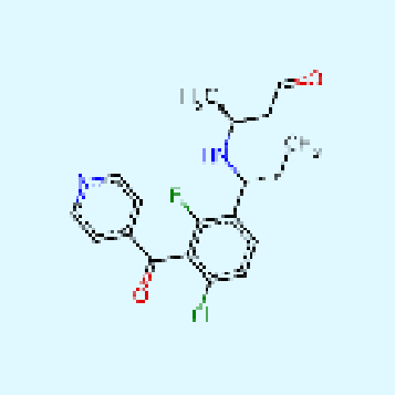 CC[C@@H](N[C@@H](C)CC=O)c1ccc(Cl)c(C(=O)c2ccncc2)c1F